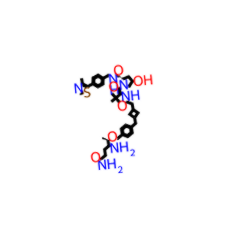 Cc1ncsc1-c1ccc(CNC(=O)[C@@H]2C[C@@H](O)CN2C(=O)[C@@H](NC(=O)CC2CC(Cc3ccc(CO[C@H](C)[C@@H](N)CCC(N)=O)cc3)C2)C(C)(C)C)cc1